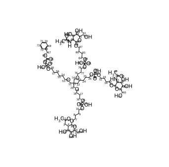 CC(=O)CC1C(OCCCCOP(=O)(O)OCCCOCC(CCCCCOP(=O)(O)OCCCCOC2OC(CO)C(O)C(O)C2NC(C)=O)(COCCCCCCOP(=O)(O)OC(=O)OCc2ccccc2)COCCCOP(=O)(O)OCCCCOC2OC(CO)C(O)C(O)C2NC(C)=O)OC(CO)C(O)C1O